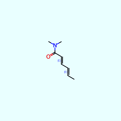 C/C=C/C=C/C(=O)N(C)C